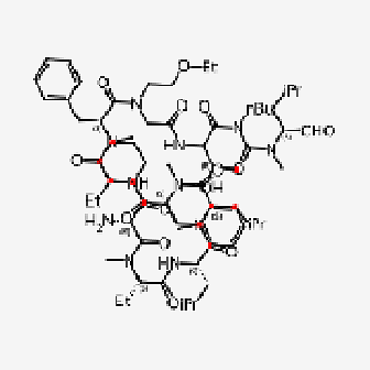 CCCCN(C(=O)C(NC(=O)CN(CCOCC)C(=O)[C@H](Cc1ccccc1)N(C)C(=O)C(CC)NC(=O)[C@H](Cc1ccccc1)N(C)C(=O)[C@H](CC(C)C)N(C)C(=O)[C@H](CC(C)C)NC(=O)[C@H](CC)N(C)C(=O)[C@H](N)C(=O)N1CCCCC1)[C@@H](C)O)C(=O)N(C)[C@H](C=O)CC(C)C